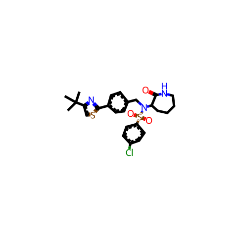 CC(C)(C)c1csc(-c2ccc(CN(C3CCCCNC3=O)S(=O)(=O)c3ccc(Cl)cc3)cc2)n1